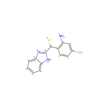 Nc1cc(Cl)ccc1C(S)c1nc2ccccc2[nH]1